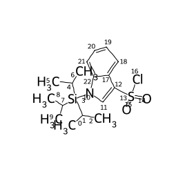 CC(C)[Si](C(C)C)(C(C)C)n1cc(S(=O)(=O)Cl)c2ccccc21